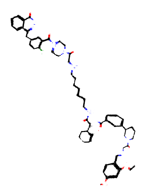 CCOc1cc(OC)ccc1CNCC(=O)N1CCCC(c2cccc(C(=O)N[C@@H](C(=O)NCCCCCCCNCC(=O)N3CCN(C(=O)c4cc(Cc5n[nH]c(=O)c6ccccc56)ccc4F)CC3)C3CCCCC3)c2)C1